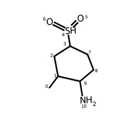 CC1CC([SH](=O)=O)CCC1N